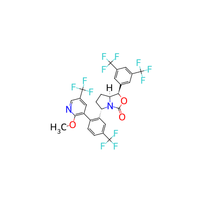 COc1ncc(C(F)(F)F)cc1-c1ccc(C(F)(F)F)cc1[C@@H]1CC[C@H]2[C@@H](c3cc(C(F)(F)F)cc(C(F)(F)F)c3)OC(=O)N12